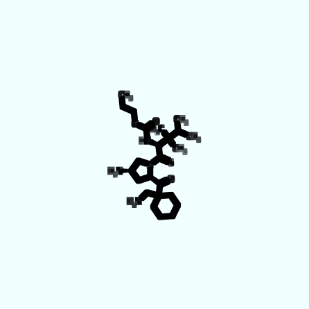 CCCOC(=O)N[C@H](C(=S)N1C[C@@H](N)C[C@@H]1C(=O)C1(CN)CCCCC1)C(C)(C)C(C)C